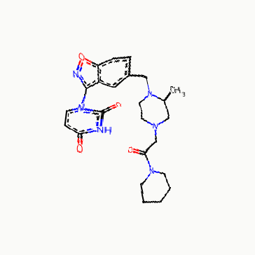 CC1CN(CC(=O)N2CCCCC2)CCN1Cc1ccc2onc(-n3ccc(=O)[nH]c3=O)c2c1